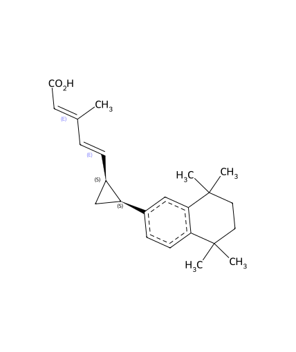 CC(/C=C/[C@@H]1C[C@@H]1c1ccc2c(c1)C(C)(C)CCC2(C)C)=C\C(=O)O